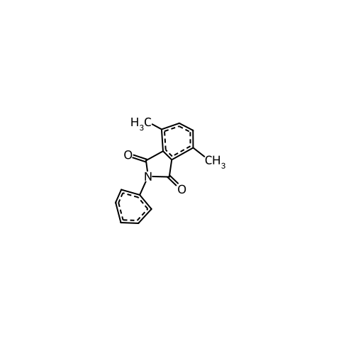 Cc1ccc(C)c2c1C(=O)N(c1ccccc1)C2=O